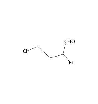 CCC(C=O)CCCl